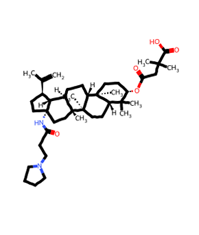 C=C(C)[C@@H]1CC[C@]2(NC(=O)CCN3CCCC3)CC[C@]3(C)[C@H](CC[C@@H]4[C@@]5(C)CC[C@H](OC(=O)CC(C)(C)C(=O)O)C(C)(C)[C@@H]5CC[C@]43C)[C@@H]12